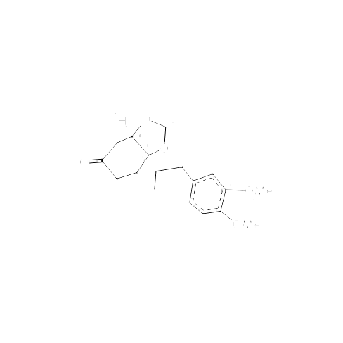 COc1ccc(CC(C)[C@]23CCC(=O)C[C@H]2OCO3)cc1OC